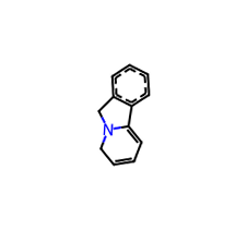 C1=CCN2Cc3ccccc3C2=C1